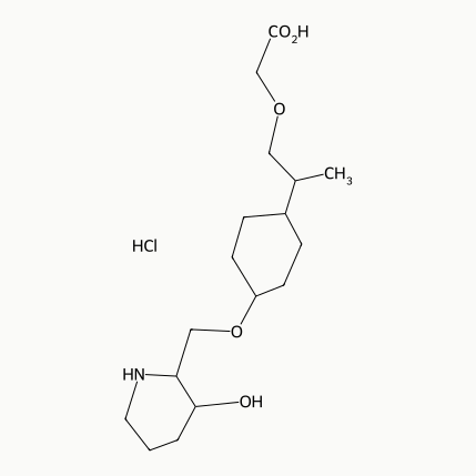 CC(COCC(=O)O)C1CCC(OCC2NCCCC2O)CC1.Cl